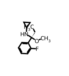 CC[C@](NC1CC1)(OC)c1ccccc1F